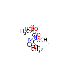 CCOC1c2c(nc3cccc(OC)c3c2CC)-c2cc3c(c(=O)n21)COC(=O)[C@]3(O)CC